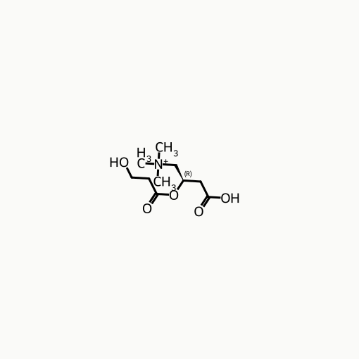 C[N+](C)(C)C[C@@H](CC(=O)O)OC(=O)CCO